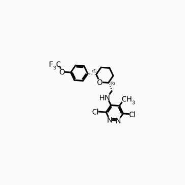 Cc1c(Cl)nnc(Cl)c1NC[C@H]1CCC[C@@H](c2ccc(OC(F)(F)F)cc2)O1